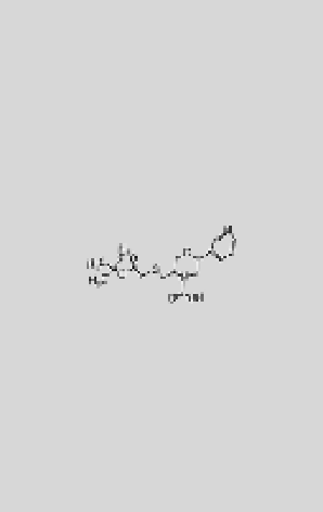 CC(C)(C)OC(=O)COCC1COC(c2cccnc2)CN1C(=O)O